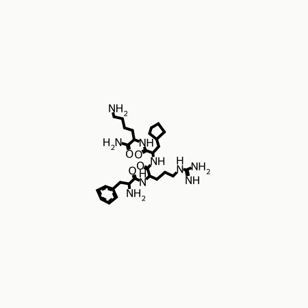 N=C(N)NCCCC(NC(=O)C(N)Cc1ccccc1)C(=O)NC(CC1CCCC1)C(=O)NC(CCCCN)C(N)=O